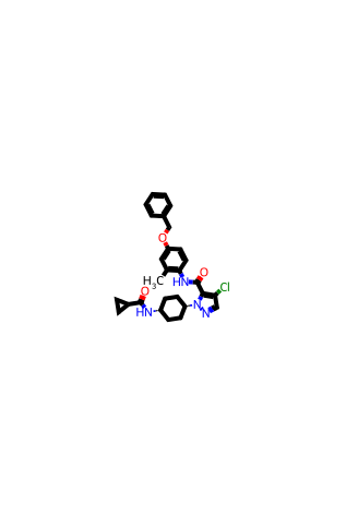 Cc1cc(OCc2ccccc2)ccc1NC(=O)c1c(Cl)cnn1[C@H]1CC[C@@H](NC(=O)C2CC2)CC1